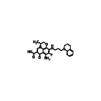 C[C@H]1COc2c(NCCCN3CCCc4ccccc43)c(F)c(N)c3c(=O)c(C(=O)O)cn1c23